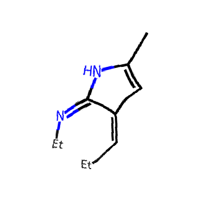 CC/C=C1/C=C(C)N/C1=N/CC